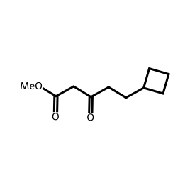 COC(=O)CC(=O)CCC1CCC1